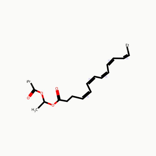 CC\C=C/C=C\C=C/C=C\C=C/CCC(=O)OC(C)OC(=O)C(C)C